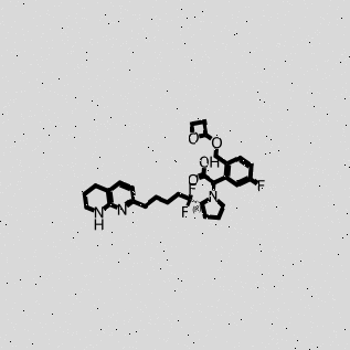 O=C(O)C(c1cc(F)ccc1COC1CCO1)N1CCC[C@@H]1C(F)(F)CCCCc1ccc2c(n1)NCCC2